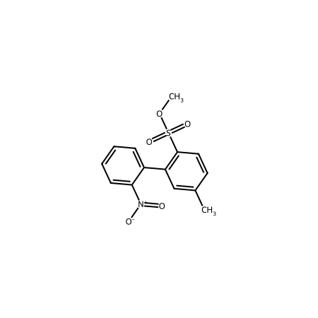 COS(=O)(=O)c1ccc(C)cc1-c1ccccc1[N+](=O)[O-]